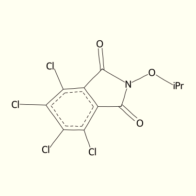 CC(C)ON1C(=O)c2c(Cl)c(Cl)c(Cl)c(Cl)c2C1=O